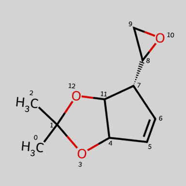 CC1(C)OC2C=C[C@@H](C3CO3)C2O1